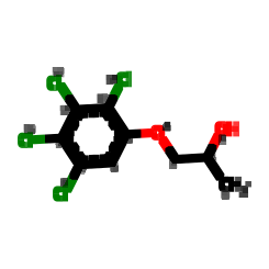 [CH2]C(O)COc1cc(Cl)c(Cl)c(Cl)c1Cl